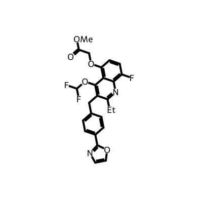 CCc1nc2c(F)ccc(OCC(=O)OC)c2c(OC(F)F)c1Cc1ccc(-c2ncco2)cc1